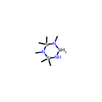 CN1[SiH2]N[Si](C)(C)N(C)[Si]1(C)C